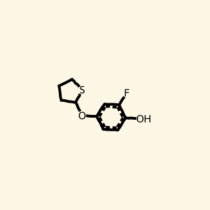 Oc1ccc(OC2CCCS2)cc1F